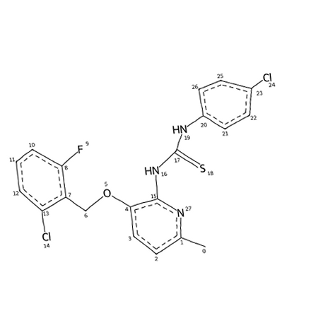 Cc1ccc(OCc2c(F)cccc2Cl)c(NC(=S)Nc2ccc(Cl)cc2)n1